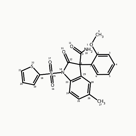 COc1ccccc1C1(C(N)=O)C(=O)N(S(=O)(=O)c2cccs2)c2ccc(C)cc21